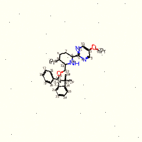 CC(C)Oc1cnc(C2CCC(C(C)C)C(CO[Si]3(c4ccccc4)c4ccccc4C3(C)C)N2)nc1